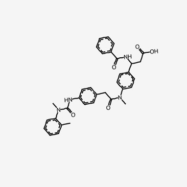 Cc1ccccc1N(C)C(=O)Nc1ccc(CC(=O)N(C)c2ccc(C(CC(=O)O)NC(=O)c3ccccc3)cc2)cc1